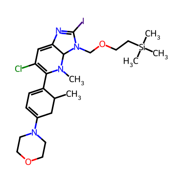 CC1CC(N2CCOCC2)=CC=C1C1=C(Cl)C=C2N=C(I)N(COCC[Si](C)(C)C)C2N1C